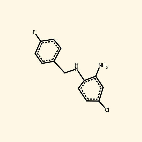 Nc1cc(Cl)ccc1NCc1ccc(F)cc1